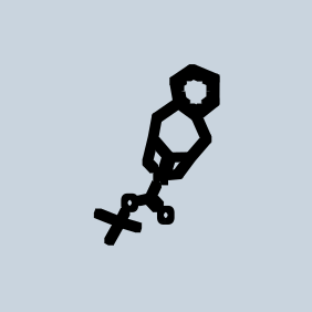 C=C1C2Cc3ccccc3CC1CN(C(=O)OC(C)(C)C)C2